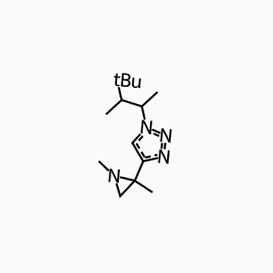 CC(C(C)C(C)(C)C)n1cc(C2(C)CN2C)nn1